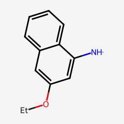 CCOc1cc([NH])c2ccccc2c1